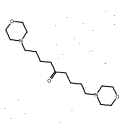 O=C(CCCCN1CCOCC1)CCCCN1CCOCC1